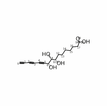 C#CC#CC#C[C@@H](O)[C@@H](O)[C@@H](O)CCCCCCC(=O)O